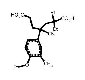 CCOc1ccc(C(C#N)(CCC(=O)O)CC(CC)(CC)C(=O)O)cc1C